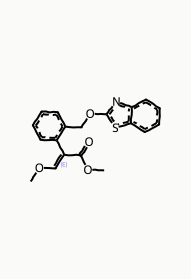 CO/C=C(/C(=O)OC)c1ccccc1COc1nc2ccccc2s1